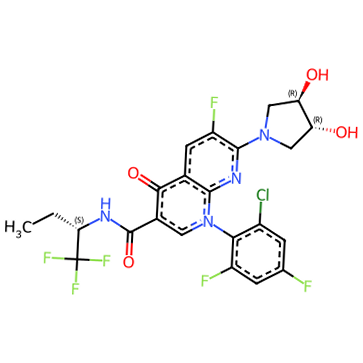 CC[C@H](NC(=O)c1cn(-c2c(F)cc(F)cc2Cl)c2nc(N3C[C@@H](O)[C@H](O)C3)c(F)cc2c1=O)C(F)(F)F